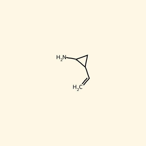 C=CC1C[C]1N